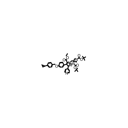 CCOC(=O)c1c(-c2ccc(OCc3ccc(C4CC4)cc3)cc2)c(-c2ccncc2)nn1CC1(NC(=O)OC(C)(C)C)CN(C(=O)OC(C)(C)C)C1